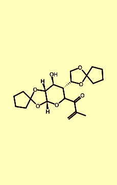 C=C(C)C(=O)C1O[C@@H]2OC3(CCCC3)O[C@@H]2[C@@H](O)[C@@H]1C1COC2(CCCC2)O1